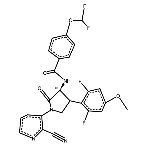 COc1cc(F)c(C2CN(c3cccnc3C#N)C(=O)[C@H]2NC(=O)c2ccc(OC(F)F)cc2)c(F)c1